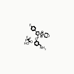 NCc1cccc(OC[C@H]2C[C@@H](c3ccc(F)cc3)CN2S(=O)(=O)N2CCOCC2)c1.O=C(O)C(F)(F)F